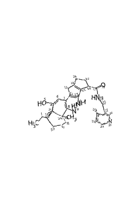 CCC1=C2C(O)=CC3=C(NNC4=C3CC3=C4C(C(=O)NCc4cccnc4)CC3)C2(C)CCC1